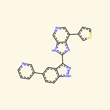 c1cncc(-c2ccc3[nH]nc(-c4nc5c(-c6ccsc6)cncc5[nH]4)c3c2)c1